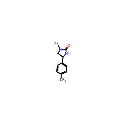 CCN1CC(c2ccc(C(F)(F)F)cc2)NC1=O